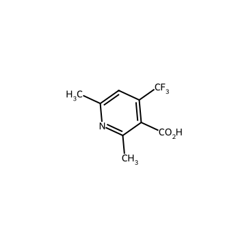 Cc1cc(C(F)(F)F)c(C(=O)O)c(C)n1